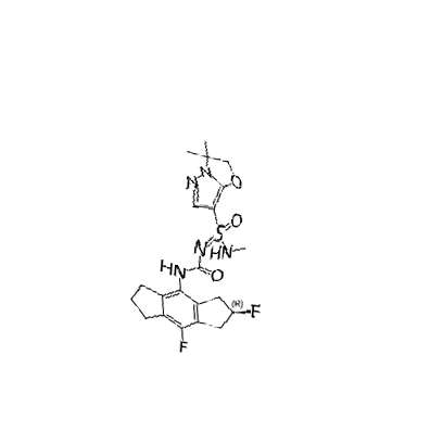 CNS(=O)(=NC(=O)Nc1c2c(c(F)c3c1C[C@@H](F)C3)CCC2)c1cnn2c1OCC2(C)C